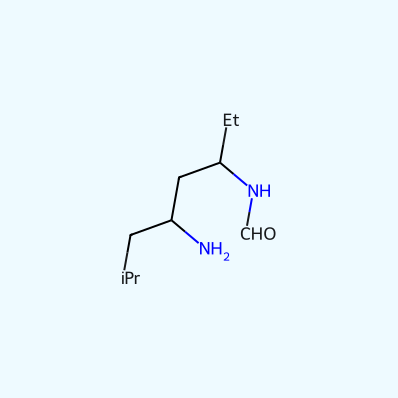 CCC(CC(N)CC(C)C)NC=O